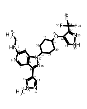 CCNc1cc2c(cn1)c(-c1cnn(C)c1)nn2C1CCC(Oc2c[nH]nc2C(F)(F)F)CC1